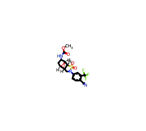 COC(=O)N[C@@H]1C[C@H]2O[C@@H]1[C@H]1[C@@H]2CN(c2ccc(C#N)c(C(F)(F)F)c2)S1(=O)=O